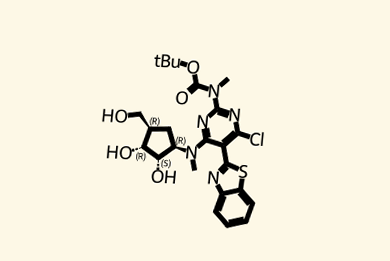 CN(C(=O)OC(C)(C)C)c1nc(Cl)c(-c2nc3ccccc3s2)c(N(C)[C@@H]2C[C@H](CO)[C@@H](O)[C@H]2O)n1